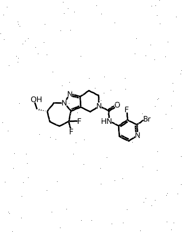 O=C(Nc1ccnc(Br)c1F)N1CCc2nn3c(c2C1)C(F)(F)CC[C@H](CO)C3